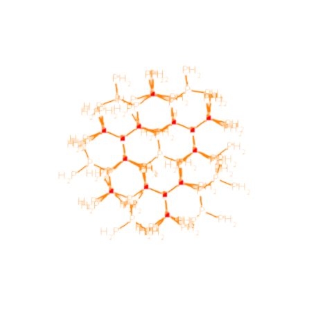 PPP(P(P)P)P(P(P)P)P(P(P(P(P)P)P(P)P)P(P(P)P)P(P)P)P(P(P(P(P(P)P)P(P)P)P(P(P)P)P(P)P)P(P(P(P)P)P(P)P)P(P(P)P)P(P)P)P(P(P(P(P)P)P(P)P)P(P(P)P)P(P)P)P(P(P(P)P)P(P)P)P(P(P)P)P(P)P